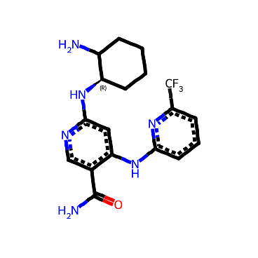 NC(=O)c1cnc(N[C@@H]2CCCCC2N)cc1Nc1cccc(C(F)(F)F)n1